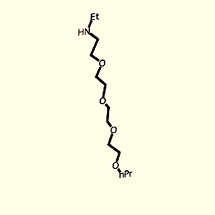 CCCOCCOCCOCCOCCNCC